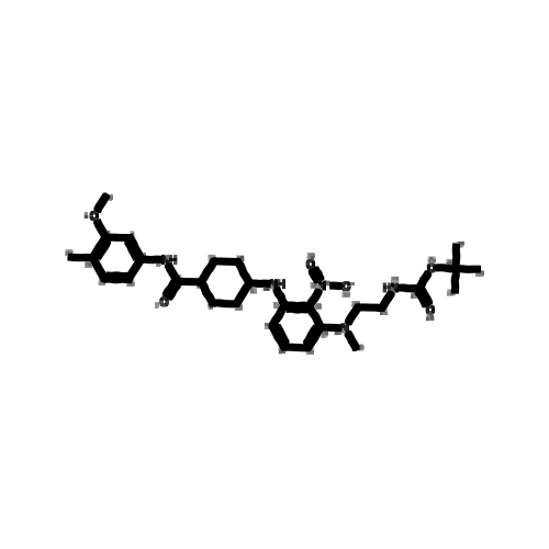 COc1cc(NC(=O)C2CCC(Nc3cccc(N(C)CCNC(=O)OC(C)(C)C)c3[N+](=O)[O-])CC2)ccc1C